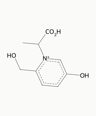 CC(C(=O)O)[n+]1cc(O)ccc1CO